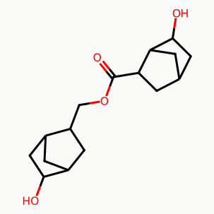 O=C(OCC1CC2CC1CC2O)C1CC2CC(O)C1C2